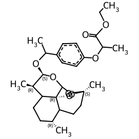 CCOC(=O)C(C)Oc1ccc(C(C)O[C@H]2OC3O[C@]4(C)CCC5[C@H](C)CCC([C@H]2C)[C@@]35OO4)cc1